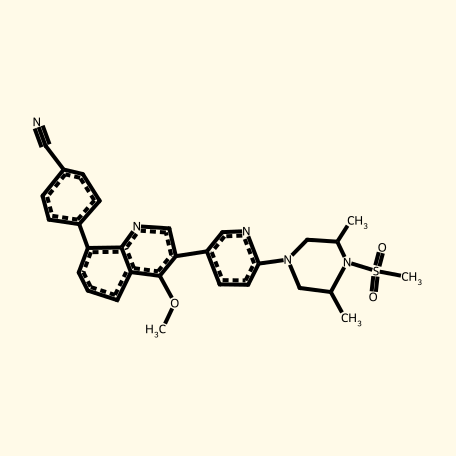 COc1c(-c2ccc(N3CC(C)N(S(C)(=O)=O)C(C)C3)nc2)cnc2c(-c3ccc(C#N)cc3)cccc12